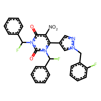 O=c1c([N+](=O)[O-])c(-c2cnn(Cc3ccccc3F)c2)n(C(F)c2ccccc2)c(=O)n1C(F)c1ccccc1